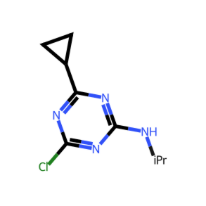 CC(C)Nc1nc(Cl)nc(C2CC2)n1